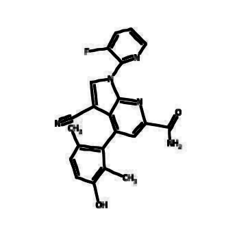 Cc1ccc(O)c(C)c1-c1cc(C(N)=O)nc2c1c(C#N)cn2-c1ncccc1F